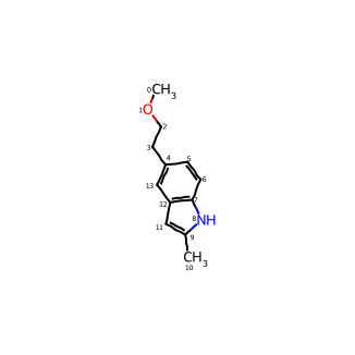 COCCc1ccc2[nH]c(C)cc2c1